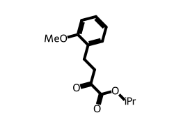 COc1ccccc1CCC(=O)C(=O)OC(C)C